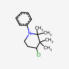 CC1(C)C(Cl)CCN(c2ccccc2)C1(C)C